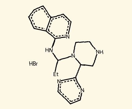 Br.CCC(Nc1nccc2ccccc12)N1CCNCC1c1ncccn1